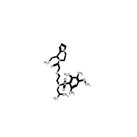 CCC1c2cccn2CCN1C(=O)COCCN(CC(C)C)S(=O)(=O)c1c(C)cc(OC)c(C)c1C